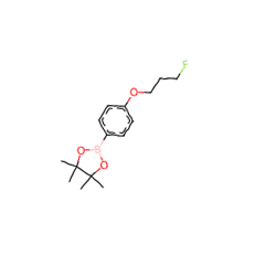 CC1(C)OB(c2ccc(OCCCF)cc2)OC1(C)C